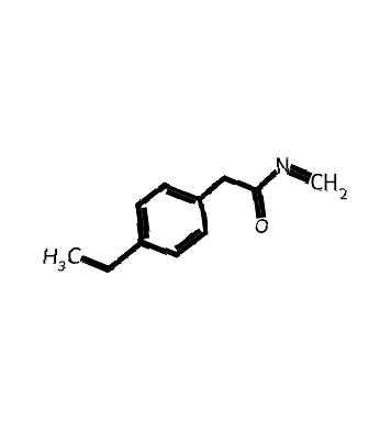 C=NC(=O)Cc1ccc(CC)cc1